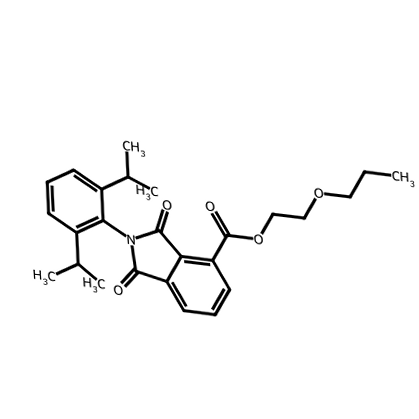 CCCOCCOC(=O)c1cccc2c1C(=O)N(c1c(C(C)C)cccc1C(C)C)C2=O